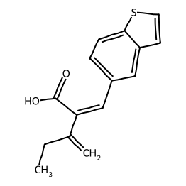 C=C(CC)C(=Cc1ccc2sccc2c1)C(=O)O